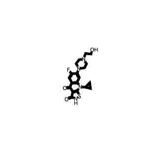 O=c1[nH]sc2c1c(=O)c1cc(F)c(N3CCN(CCO)CC3)cc1n2C1CC1